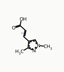 Cc1nn(C)cc1/C=C/C(=O)O